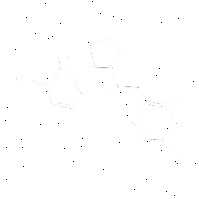 COc1cccc([C@@H]2CCCN2C(=O)Cc2ncc(C(F)(F)F)cc2C(F)(F)F)c1C